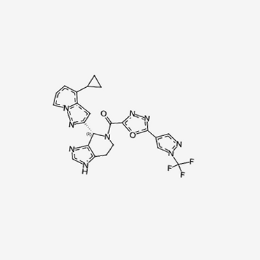 O=C(c1nnc(-c2cnn(C(F)(F)F)c2)o1)N1CCc2[nH]cnc2[C@@H]1c1cc2c(C3CC3)cccn2n1